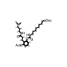 CCCCCCCCCCCCCCCCCCNC(=O)Oc1cccc(OC(C)=O)c1CCC(=O)NCCCN(C)C